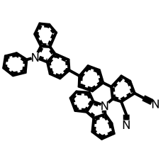 N#Cc1ccc(-c2ccc(-c3ccc4c(c3)c3ccccc3n4-c3ccccc3)cc2)c(-n2c3ccccc3c3ccccc32)c1C#N